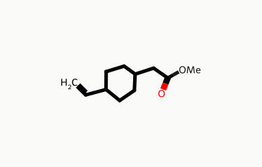 C=CC1CCC(CC(=O)OC)CC1